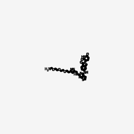 NCOCCOCCOCCn1cc(CNc2nc(Nc3ccc4c(c3)CN(C3CCC(=O)NC3=O)C4=O)c3ccsc3n2)nn1